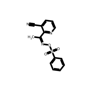 CC(=NOS(=O)(=O)c1ccccc1)c1ncccc1C#N